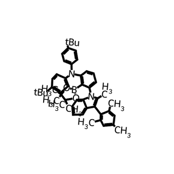 Cc1cc(C)c(-c2c(C)n(-c3cccc(N(c4ccc(C(C)(C)C)cc4)c4ccc(C(C)(C)C)cc4)c3B3OC(C)(C)C(C)(C)O3)c3ccccc23)c(C)c1